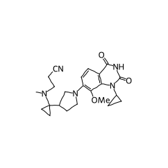 COc1c(N2CCC(C3(N(C)CCC#N)CC3)C2)ccc2c(=O)[nH]c(=O)n(C3CC3)c12